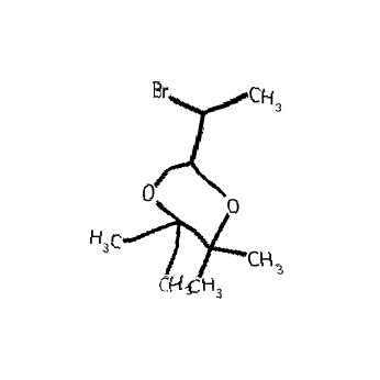 CC(Br)C1OC(C)(C)C(C)(C)O1